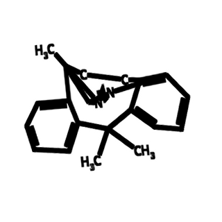 CN1C=CN2c3cccc4c3CCC(c3ccccc3C4(C)C)C12